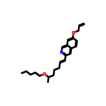 C=CCOc1ccc2cc(C=CCCCC(C)OCCCCC)ncc2c1